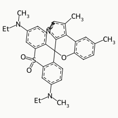 CCN(C)c1ccc2c(c1)S(=O)(=O)c1cc(N(C)CC)ccc1C21Oc2ccc(C)cc2-c2c(C)c3ccccn3c21